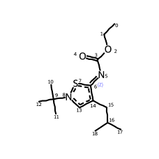 CCOC(=O)/N=c1\sn(C(C)(C)C)cc1CC(C)C